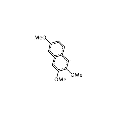 COc1ccc2[c]c(OC)c(OC)cc2c1